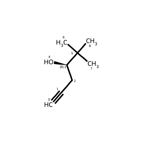 C#CC[C@@H](O)C(C)(C)C